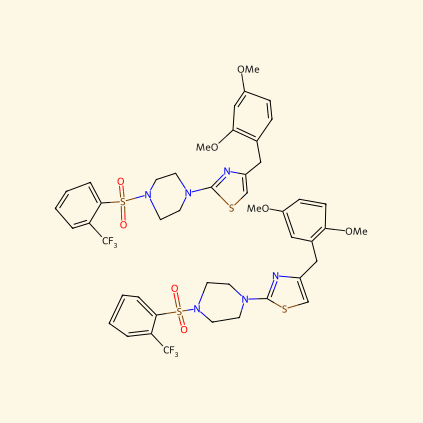 COc1ccc(Cc2csc(N3CCN(S(=O)(=O)c4ccccc4C(F)(F)F)CC3)n2)c(OC)c1.COc1ccc(OC)c(Cc2csc(N3CCN(S(=O)(=O)c4ccccc4C(F)(F)F)CC3)n2)c1